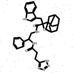 CC(Cc1c[nH]c2ccccc12)(C(=O)NCC(NC(=O)CCc1nnn[nH]1)c1ccccc1)C12[CH]C3CC(CC(C3)C1)C2